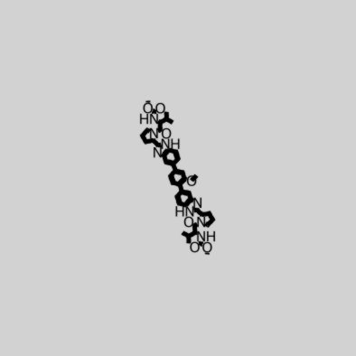 COC(=O)NC(C(=O)N1CCCC1c1nc2cc(-c3ccc(-c4ccc5[nH]c(C6CCCN6C(=O)[C@@H](NC(=O)OC)C(C)C)nc5c4)c(OC)c3)ccc2[nH]1)C(C)C